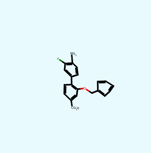 O=C(O)c1ccc(-c2ccc([N+](=O)[O-])c(F)c2)c(OCc2ccccc2)c1